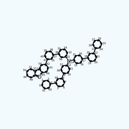 c1ccc(-c2cccc(-c3ccc(N(c4ccc(-c5cccc(-c6ccccc6)c5)cc4)c4cccc(-c5cccc(-c6ccc7oc8ccccc8c7c6)c5)c4)cc3)c2)cc1